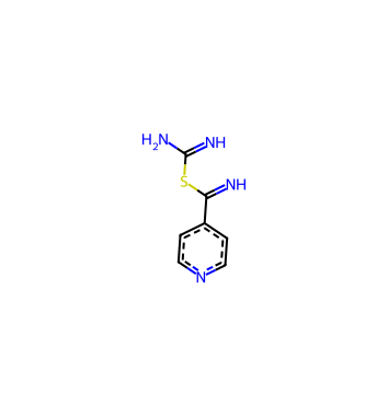 N=C(N)SC(=N)c1ccncc1